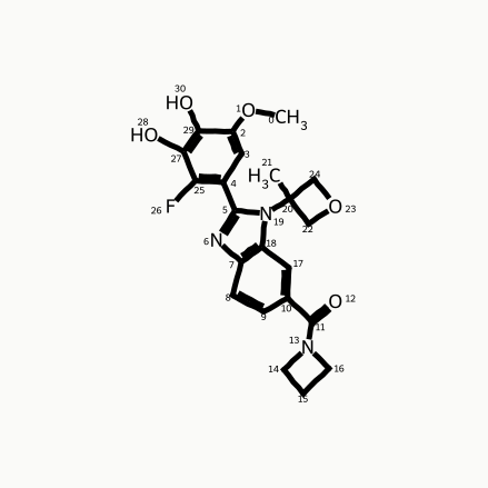 COc1cc(-c2nc3ccc(C(=O)N4CCC4)cc3n2C2(C)COC2)c(F)c(O)c1O